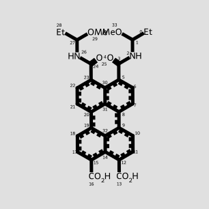 CCC(NC(=O)c1ccc2c3ccc(C(=O)O)c4c(C(=O)O)ccc(c5ccc(C(=O)NC(CC)OC)c1c25)c43)OC